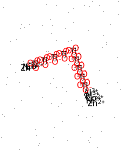 [Al+3].[Al+3].[Co+2].[Co+2].[Ni+2].[Ni+2].[O]=[Ti]([O-])[O-].[O]=[Ti]([O-])[O-].[O]=[Ti]([O-])[O-].[O]=[Ti]([O-])[O-].[O]=[Ti]([O-])[O-].[O]=[Ti]([O-])[O-].[O]=[Ti]([O-])[O-].[O]=[Ti]([O-])[O-].[O]=[Ti]([O-])[O-].[Zn+2].[Zn+2]